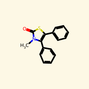 Cn1c(-c2ccccc2)c(-c2ccccc2)sc1=O